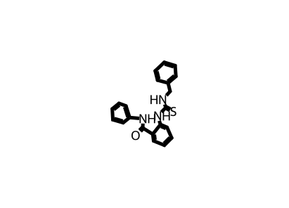 O=C(Nc1ccccc1)c1ccccc1NC(=S)NCc1ccccc1